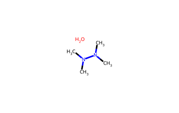 CN(C)N(C)C.O